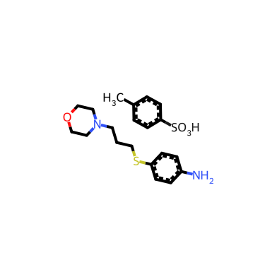 Cc1ccc(S(=O)(=O)O)cc1.Nc1ccc(SCCCN2CCOCC2)cc1